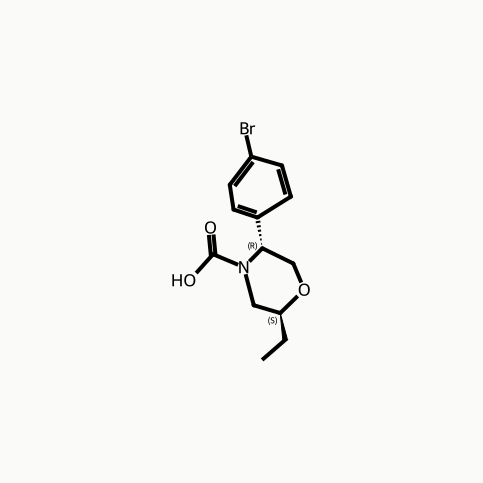 CC[C@H]1CN(C(=O)O)[C@H](c2ccc(Br)cc2)CO1